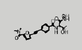 C[C@@H](O)[C@H](NC(=O)c1ccc(C#Cc2ccc(C(=O)N(C)C)o2)cc1)C(=O)NO